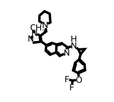 Cn1ncc(-c2ccc3cnc(NC4CC4c4ccc(OC(F)F)cc4)cc3c2)c1CN1CCCCC1